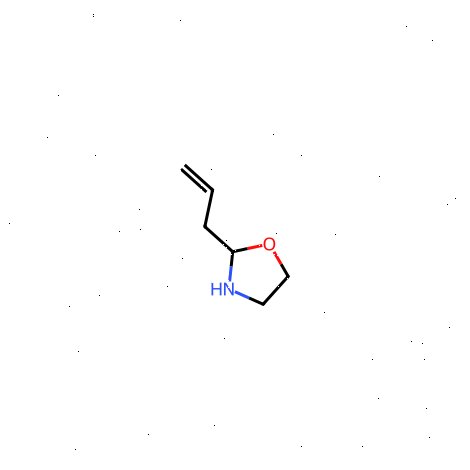 C=CCC1NCCO1